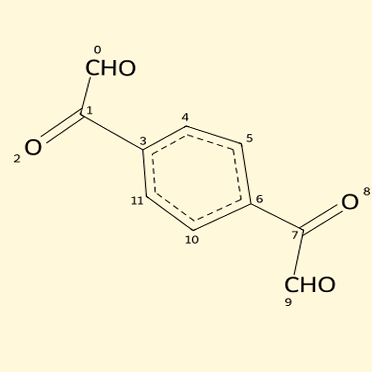 O=CC(=O)c1ccc(C(=O)C=O)cc1